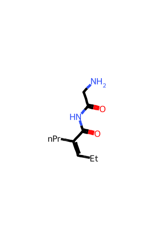 CCC=C(CCC)C(=O)NC(=O)CN